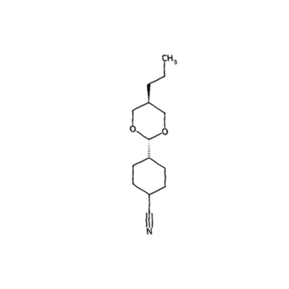 CCC[C@H]1CO[C@H](C2CCC(C#N)CC2)OC1